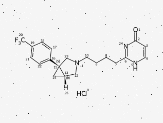 Cl.O=c1cc[nH]c(CCCCN2C[C@@H]3C[C@]3(c3ccc(C(F)(F)F)cc3)C2)n1